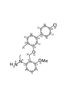 COc1cccc(N(C)N)c1COc1cc(-c2ccc(Cl)cc2)ccc1C